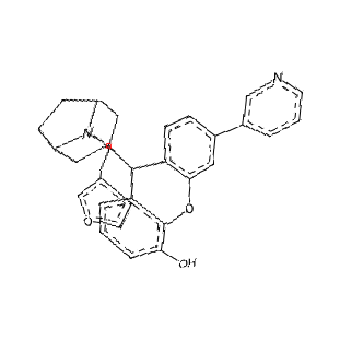 Oc1cccc2c1Oc1cc(-c3cccnc3)ccc1C2C1CC2CCC(C1)N2Cc1ccoc1